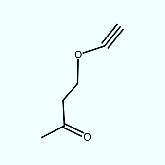 C#COCCC(C)=O